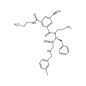 C#Cc1cc(C(=O)NCCC)cc(C(=O)N(CCC)[C@@H](Cc2ccccc2)[C@H](O)CNCc2cccc(I)c2)c1